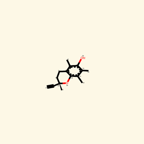 C#C[C@]1(C)CCc2c(C)c(O)c(C)c(C)c2O1